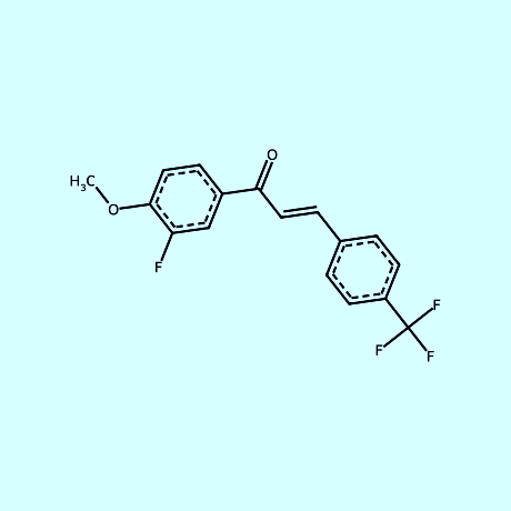 COc1ccc(C(=O)C=Cc2ccc(C(F)(F)F)cc2)cc1F